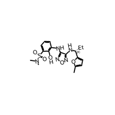 CC[C@@H](Nc1nonc1Nc1cccc(S(=O)(=O)N(C)C)c1O)c1ccc(C)o1